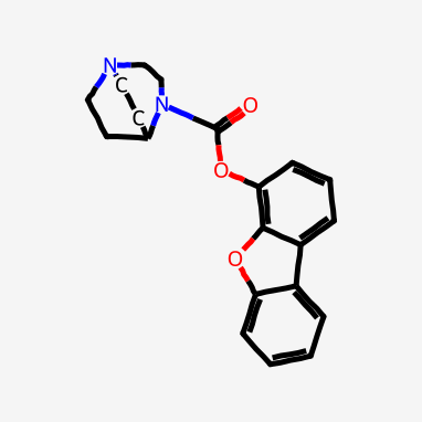 O=C(Oc1cccc2c1oc1ccccc12)N1CCN2CCC1CC2